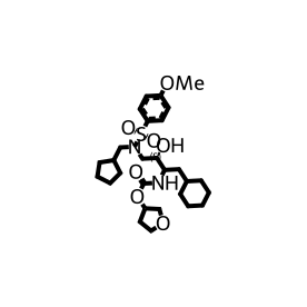 COc1ccc(S(=O)(=O)N(CC2CCCC2)C[C@H](O)C(CC2CCCCC2)NC(=O)OC2CCOC2)cc1